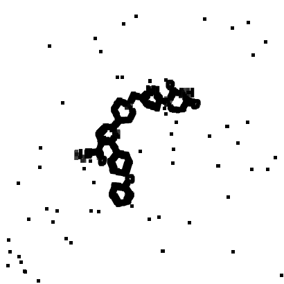 NC(=O)c1ccc(C2CCN(Cc3ccc(N4CCC(=O)NC4=O)nn3)CC2)nc1-c1ccc(Oc2ccccc2)cc1